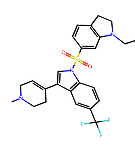 CCN1CCc2ccc(S(=O)(=O)n3cc(C4=CCN(C)CC4)c4cc(C(F)(F)F)ccc43)cc21